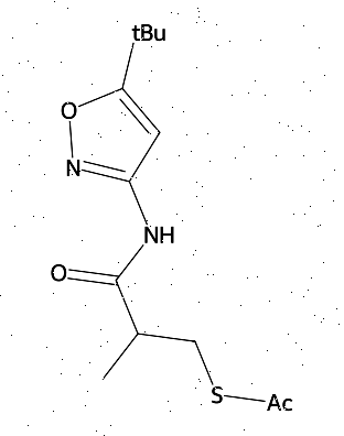 CC(=O)SCC(C)C(=O)Nc1cc(C(C)(C)C)on1